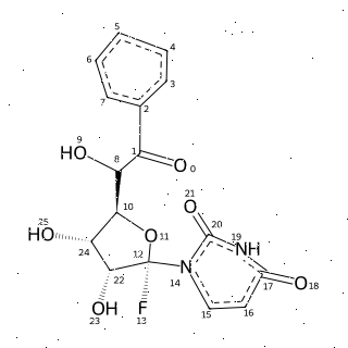 O=C(c1ccccc1)C(O)[C@H]1O[C@@](F)(n2ccc(=O)[nH]c2=O)[C@H](O)[C@@H]1O